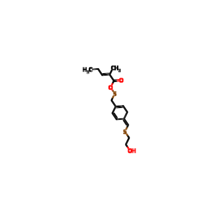 CCC=C(C)C(=O)OSCC1=CCC(=CSCCO)C=C1